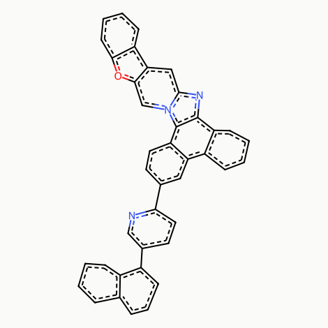 c1ccc2c(-c3ccc(-c4ccc5c(c4)c4ccccc4c4nc6cc7c(cn6c54)oc4ccccc47)nc3)cccc2c1